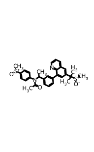 CC(=O)N(c1ccc([S+](C)[O-])cc1)C(C)c1cccc(-c2cc(C(C)(C)[S+](C)[O-])cc3cccnc23)c1